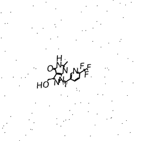 Cc1nc2c(c(CO)nn2[C@H](C)c2ccc(C(F)(F)F)nc2)c(=O)[nH]1